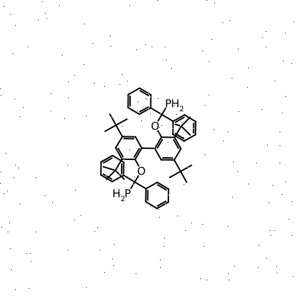 CC(C)(C)c1cc(-c2cc(C(C)(C)C)cc(C(C)(C)C)c2OC(P)(c2ccccc2)c2ccccc2)c(OC(P)(c2ccccc2)c2ccccc2)c(C(C)(C)C)c1